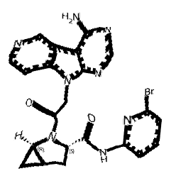 Nc1ncnc2c1c1cnccc1n2CC(=O)N1[C@@H]2CC2C[C@H]1C(=O)Nc1cccc(Br)n1